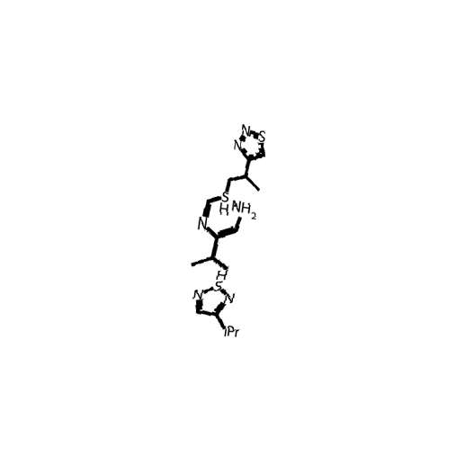 C/C=C(\N=C/[SH](N)CC(C)c1csnn1)C(C)C[SH]1N=CC(C(C)C)=N1